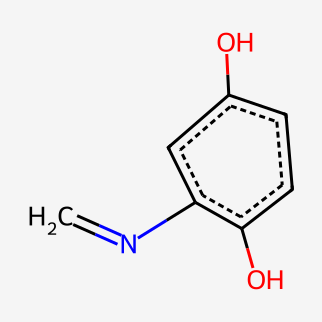 C=Nc1cc(O)ccc1O